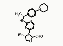 CC(C)[C@H]1COC(C=O)N1c1ccnc(N[C@H](C)c2ccc(N3CCCCC3)cc2)n1